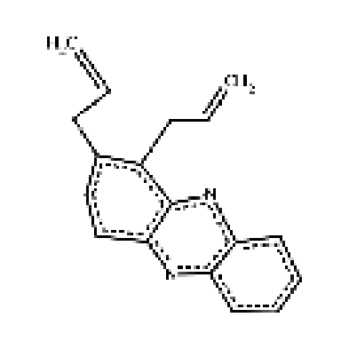 C=CCc1ccc2nc3ccccc3nc2c1CC=C